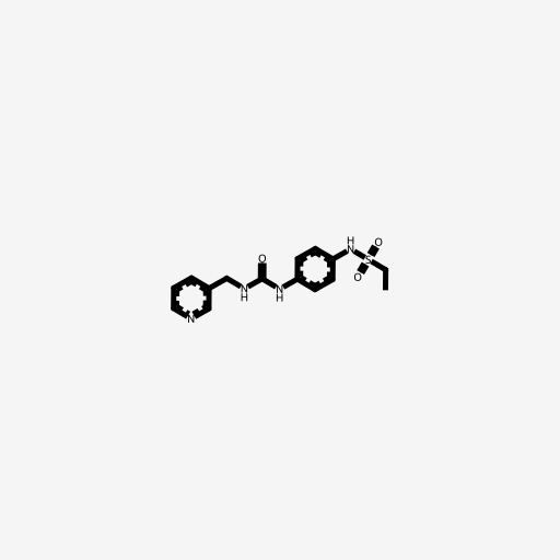 CCS(=O)(=O)Nc1ccc(NC(=O)NCc2cccnc2)cc1